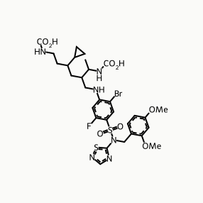 COc1ccc(CN(c2ncns2)S(=O)(=O)c2cc(Br)c(NCC(CC(CCNC(=O)O)C3CC3)C(C)NC(=O)O)cc2F)c(OC)c1